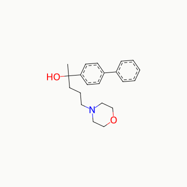 CC(O)(CCCN1CCOCC1)c1ccc(-c2ccccc2)cc1